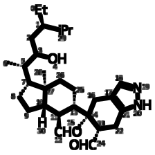 CC[C@H](CC(O)[C@@H](C)[C@H]1CC[C@H]2[C@H](C=O)[C@@H]([C@@]3(C)Cc4cn[nH]c4C[C@@H]3C=O)CC[C@]12C)C(C)C